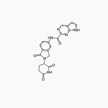 O=C1CCC(N2Cc3cc(NC(=O)c4ncc5cc[nH]c5n4)ccc3C2=O)C(=O)N1